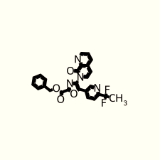 CC(F)(F)c1ccc(-c2oc(C(=O)OCc3ccccc3)nc2-n2ccc3cccnc3c2=O)cn1